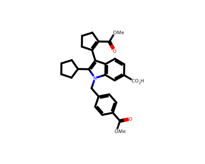 COC(=O)C1=C(c2c(C3CCCC3)n(Cc3ccc(C(=O)OC)cc3)c3cc(C(=O)O)ccc23)CCC1